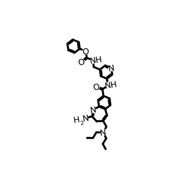 CCCN(CCC)CC1=Cc2ccc(C(=O)Nc3cncc(CNC(=O)Oc4ccccc4)c3)cc2N=C(N)C1